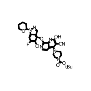 CC(C)(C)OC(=O)N1CCN(c2c(C#N)c(O)nc3c(Oc4c(Cl)c(F)cc5c4cnn5C4CCCCO4)nccc23)CC1